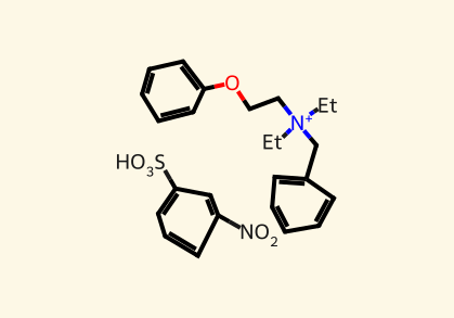 CC[N+](CC)(CCOc1ccccc1)Cc1ccccc1.O=[N+]([O-])c1cccc(S(=O)(=O)O)c1